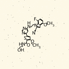 CCOc1cc(-c2cc(NCCn3c(C#N)cc4c(OC)ccc(F)c43)ncn2)sc1C(=O)NCCO